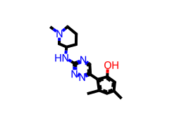 Cc1cc(C)c(-c2cnc(NC3CCCN(C)C3)nn2)c(O)c1